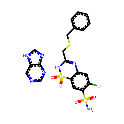 NS(=O)(=O)c1cc2c(cc1Cl)N=C(CSCc1ccccc1)NS2(=O)=O.c1ncc2[nH]cnc2n1